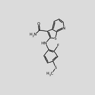 CSc1ccc(Nc2sc3ncccc3c2C(N)=O)c(F)c1